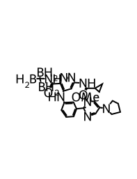 BC(B)(B)NC(=O)c1nnc(NC(=O)C2CC2)cc1Nc1cccc(-c2ncc(N3CCCC3)cn2)c1OC